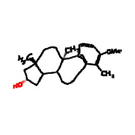 COc1ccc2c(c1C)CCC1C3C[C@H](O)C[C@]3(C)CC[C@@]21C